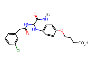 CCNC(=O)C(NC(=O)Cc1cccc(Cl)c1)Nc1ccc(OCCCC(=O)O)cc1